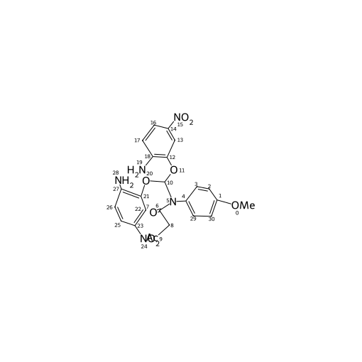 COc1ccc(N(C(=O)CC(C)=O)C(Oc2cc([N+](=O)[O-])ccc2N)Oc2cc([N+](=O)[O-])ccc2N)cc1